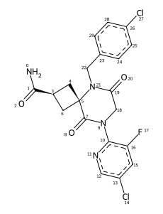 NC(=O)[C@H]1C[C@]2(C1)C(=O)N(c1ncc(Cl)cc1F)CC(=O)N2Cc1ccc(Cl)cc1